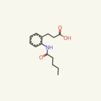 CCCCC(=O)Nc1ccccc1CCC(=O)O